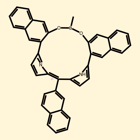 CB1Oc2cc3ccccc3cc2C2=N/C(=C(/c3ccc4ccccc4c3)c3ccc([nH]3)-c3cc4ccccc4cc3O1)C=C2